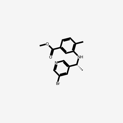 COC(=O)c1ccc(C)c(N[C@H](C)c2cncc(Br)c2)c1